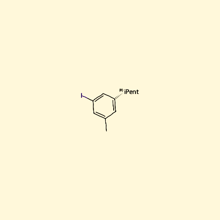 CCC[C@@H](C)c1cc(C)cc(I)c1